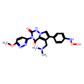 COc1ccc(-n2c(=O)[nH]n3cc(-c4ccc(NOO)cc4)c(CN(C)C)c3c2=O)nn1